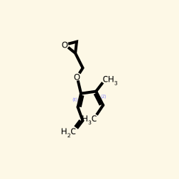 C=C/C=C(OCC1CO1)\C(C)=C/C